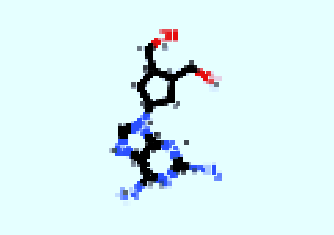 Nc1nc(N)c2ncn(C3CC(CO)C(CO)C3)c2n1